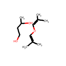 CC(C)=COC=C(C)C.CC(O)CCO